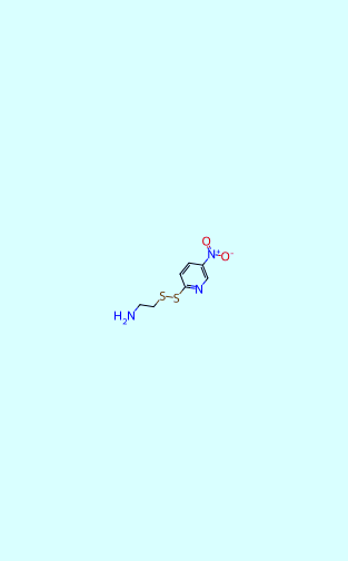 NCCSSc1ccc([N+](=O)[O-])cn1